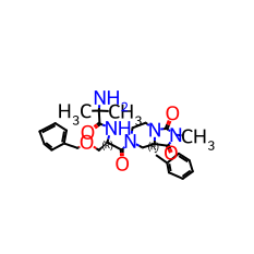 CN1C(=O)N2CCN(C(=O)[C@@H](COCc3ccccc3)NC(=O)C(C)(C)N)C[C@]2(Cc2ccccc2)C1=O